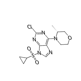 C[C@@H]1COCCN1c1nc(Cl)nc2c1ncn2S(=O)(=O)C1CC1